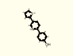 Oc1ccc(-c2ccc(-c3cccs3)cn2)cc1